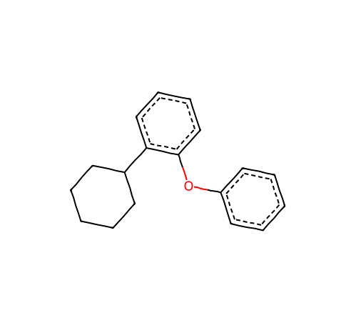 c1ccc(Oc2ccccc2C2CCCCC2)cc1